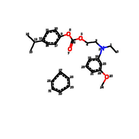 CCN(CCOC(=O)Oc1ccc(C(C)C)cc1)c1cccc(OC)c1.c1ccccc1